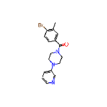 Cc1cc(C(=O)N2CCN(c3cccnc3)CC2)ccc1Br